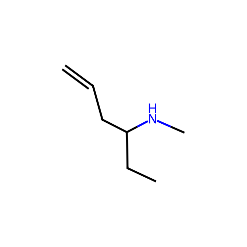 C=CCC(CC)NC